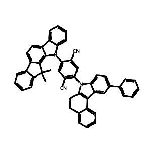 CC1(C)c2ccccc2-c2ccc3c4ccccc4n(-c4cc(C#N)c(-n5c6c(c7cc(-c8ccccc8)ccc75)-c5ccccc5CC6)cc4C#N)c3c21